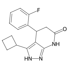 O=C1CC(c2ccccc2F)c2c(n[nH]c2C2CCC2)N1